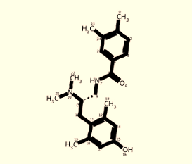 Cc1ccc(C(=O)NC[C@H](Cc2c(C)cc(O)cc2C)N(C)C)cc1C